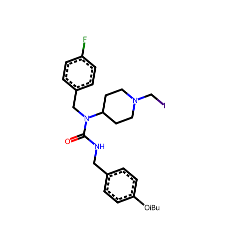 CC(C)COc1ccc(CNC(=O)N(Cc2ccc(F)cc2)C2CCN(CI)CC2)cc1